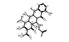 C=C(C)CNC1C2C(=O)c3c(O)cccc3[C@H](C)C2[C@H](O)C2[C@H](N(C)C)C(O)=C(C(N)=O)C(=O)[C@@]12O